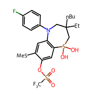 CCCCC1(CC)CN(c2ccc(F)cc2)c2cc(SC)c(OS(=O)(=O)C(F)(F)F)cc2S(O)(O)C1